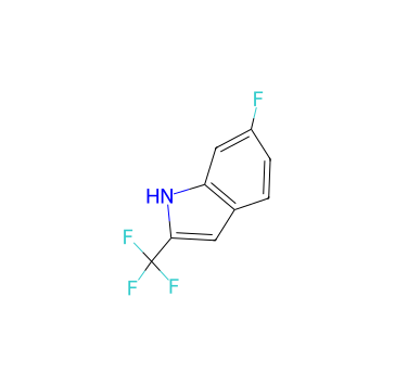 Fc1ccc2cc(C(F)(F)F)[nH]c2c1